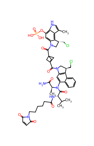 Cc1c[nH]c2c(OP(=O)(O)O)cc3c(c12)[C@H](CCl)CN3C(=O)C12CC(C(=O)N3C[C@@H](CCl)c4c3cc(N(C(=O)[C@@H](NC(=O)CCCCCN3C(=O)C=CC3=O)C(C)C)[C@@H](C)C(N)=O)c3ccccc43)(C1)C2